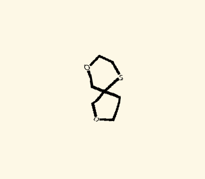 C1CSC2(CCOC2)CO1